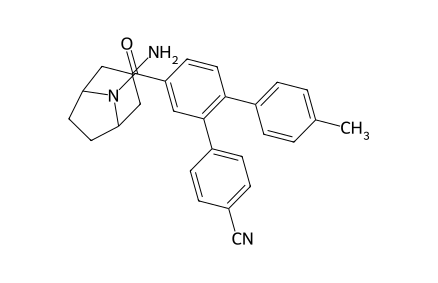 Cc1ccc(-c2ccc(C(=O)N3C4CCC3CC(N)C4)cc2-c2ccc(C#N)cc2)cc1